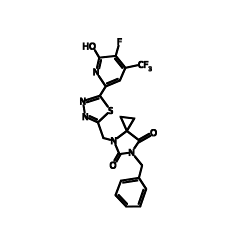 O=C1N(Cc2ccccc2)C(=O)C2(CC2)N1Cc1nnc(-c2cc(C(F)(F)F)c(F)c(O)n2)s1